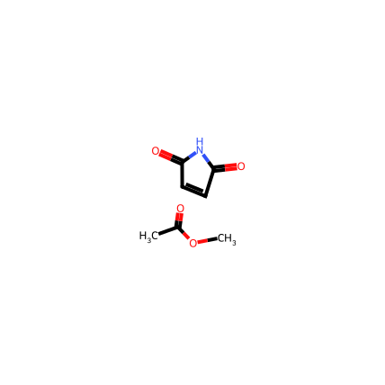 COC(C)=O.O=C1C=CC(=O)N1